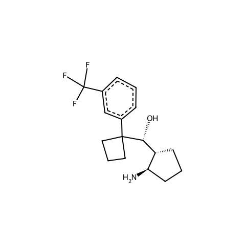 N[C@@H]1CCC[C@H]1[C@@H](O)C1(c2cccc(C(F)(F)F)c2)CCC1